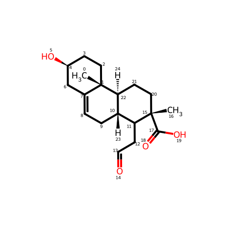 C[C@]12CC[C@H](O)CC1=CC[C@H]1C(CC=O)[C@@](C)(C(=O)O)CC[C@@H]12